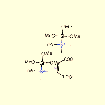 CCC[N+](C)(C)[Si](OC)(OC)OC.CCC[N+](C)(C)[Si](OC)(OC)OC.O=C([O-])/C=C\C(=O)[O-]